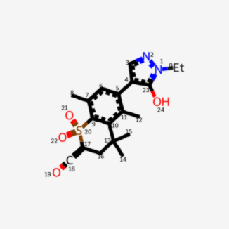 CCn1ncc(-c2cc(C)c3c(c2C)C(C)(C)CC(=C=O)S3(=O)=O)c1O